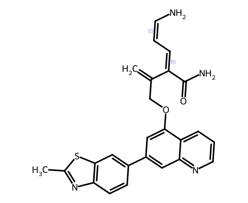 C=C(COc1cc(-c2ccc3nc(C)sc3c2)cc2ncccc12)/C(=C\C=C/N)C(N)=O